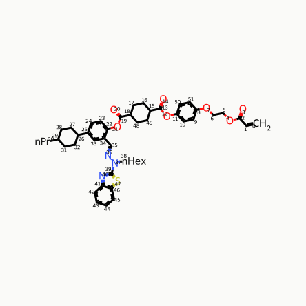 C=CC(=O)OCCOc1ccc(OC(=O)C2CCC(C(=O)Oc3ccc(C4CCC(CCC)CC4)cc3/C=N/N(CCCCCC)c3nc4ccccc4s3)CC2)cc1